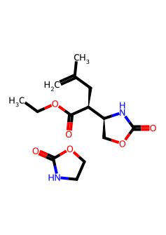 C=C(C)C[C@H](C(=O)OCC)[C@@H]1COC(=O)N1.O=C1NCCO1